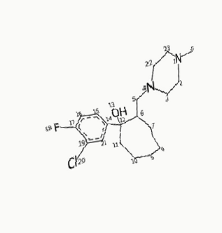 CN1CCN(CC2CCCCCC2(O)c2ccc(F)c(Cl)c2)CC1